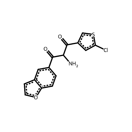 NC(C(=O)c1csc(Cl)c1)C(=O)c1ccc2occc2c1